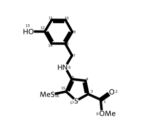 COC(=O)c1cc(NCc2cccc(O)c2)c(SC)s1